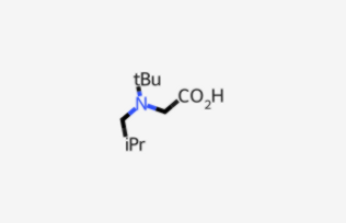 CC(C)CN(CC(=O)O)C(C)(C)C